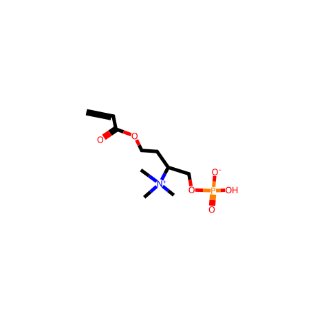 C=CC(=O)OCCC(COP(=O)([O-])O)[N+](C)(C)C